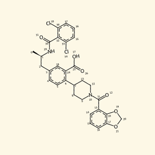 C[C@H](Cc1ccc(C2CCN(C(=O)c3cccc4c3OCO4)CC2)c(C(=O)O)c1)NC(=O)c1c(Cl)cccc1Cl